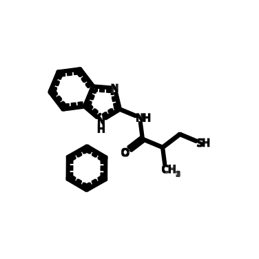 CC(CS)C(=O)Nc1nc2ccccc2[nH]1.c1ccccc1